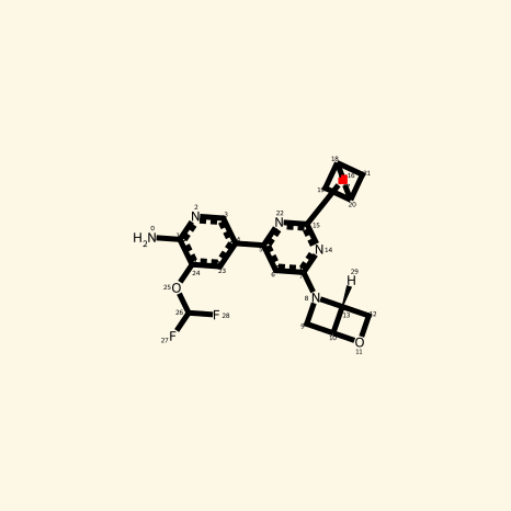 Nc1ncc(-c2cc(N3CC4OC[C@H]43)nc(N3CC4CC3C4)n2)cc1OC(F)F